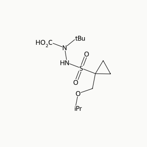 CC(C)OCC1(S(=O)(=O)NN(C(=O)O)C(C)(C)C)CC1